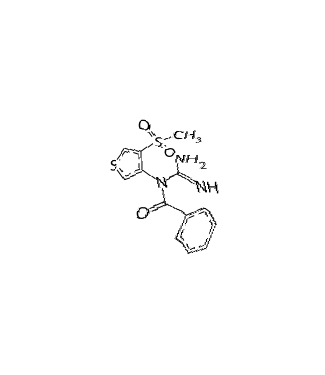 CS(=O)(=O)c1cscc1N(C(=N)N)C(=O)c1ccccc1